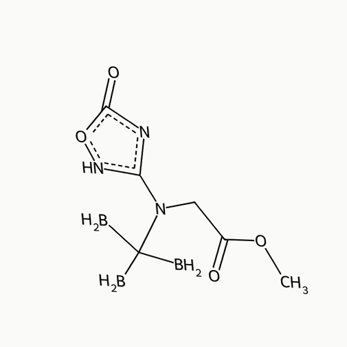 BC(B)(B)N(CC(=O)OC)c1nc(=O)o[nH]1